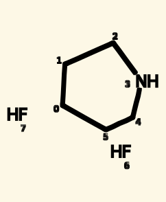 C1CCNCC1.F.F